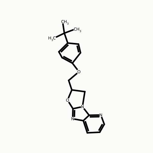 CC(C)(C)c1ccc(OCC2Cn3c(nc4cccnc43)O2)cc1